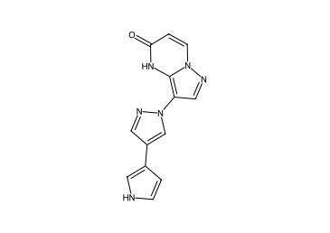 O=c1ccn2ncc(-n3cc(-c4cc[nH]c4)cn3)c2[nH]1